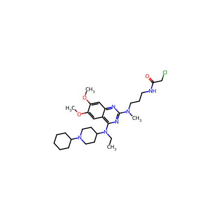 CCN(c1nc(N(C)CCCNC(=O)CCl)nc2cc(OC)c(OC)cc12)C1CCN(C2CCCCC2)CC1